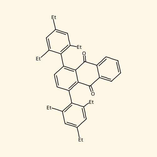 CCc1cc(CC)c(-c2ccc(-c3c(CC)cc(CC)cc3CC)c3c2C(=O)c2ccccc2C3=O)c(CC)c1